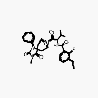 CCc1cccc(C(=O)N[C@@H](C(=O)N2CCC3(CC2)C(=O)N(C)C(=O)N3c2ccccc2)C(C)C)c1F